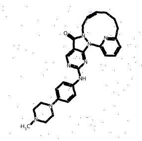 CN1CCN(c2ccc(Nc3ncc4c(=O)n5n(c4n3)-c3cccc(n3)CCC/C=C\C5)cc2)CC1